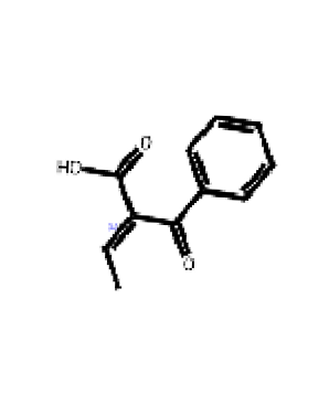 C/C=C(/C(=O)O)C(=O)c1ccccc1